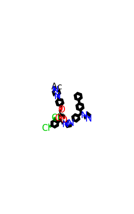 CC(=O)N1CCN(c2ccc(OC[C@H]3CO[C@](Cn4ccnc4)(c4ccc(Cl)cc4Cl)O3)cc2)CC1.c1ccc(-c2ccc(C(c3ccccc3)n3ccnc3)cc2)cc1